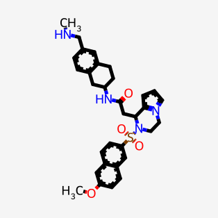 CNCc1ccc2c(c1)CCC(NC(=O)CC1c3cccn3CCN1S(=O)(=O)c1ccc3cc(OC)ccc3c1)C2